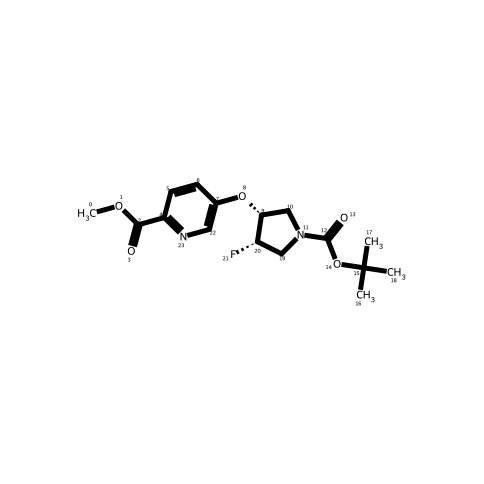 COC(=O)c1ccc(O[C@@H]2CN(C(=O)OC(C)(C)C)C[C@@H]2F)cn1